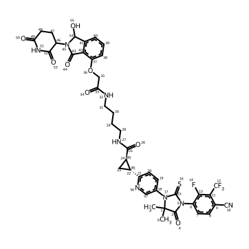 CC1(C)C(=O)N(c2ccc(C#N)c(C(F)(F)F)c2F)C(=S)N1c1ccc([C@@H]2C[C@H]2C(=O)NCCCCNC(=O)COc2cccc3c2C(=O)N(C2CCC(=O)NC2=O)C3O)nc1